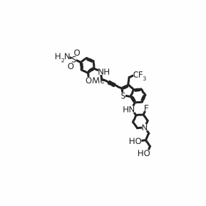 COc1cc(S(N)(=O)=O)ccc1NCC#Cc1sc2c(NC3CCN(CC(O)CO)CC3F)cccc2c1CC(F)(F)F